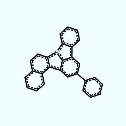 c1ccc(-c2cc3c4ccccc4n4c5ccc6ccccc6c5c(c2)c34)cc1